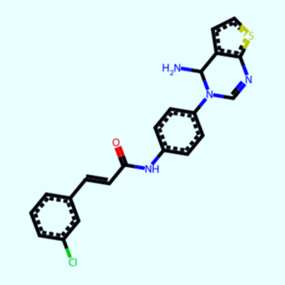 NC1c2ccsc2N=CN1c1ccc(NC(=O)/C=C/c2cccc(Cl)c2)cc1